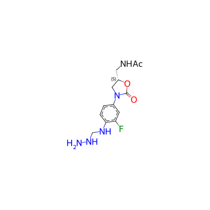 CC(=O)NC[C@H]1CN(c2ccc(NCNN)c(F)c2)C(=O)O1